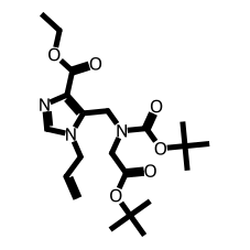 C=CCn1cnc(C(=O)OCC)c1CN(CC(=O)OC(C)(C)C)C(=O)OC(C)(C)C